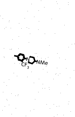 CNC1CCN(c2ccc(C)cc2C(F)(F)F)CC1